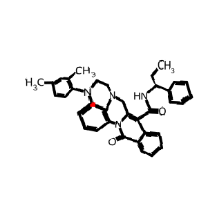 CC[C@H](NC(=O)c1c(CN2CCN(c3ccc(C)cc3C)CC2)n(-c2ccccc2)c(=O)c2ccccc12)c1ccccc1